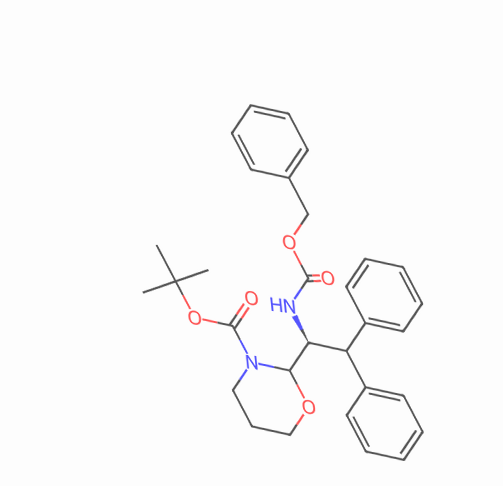 CC(C)(C)OC(=O)N1CCCOC1[C@@H](NC(=O)OCc1ccccc1)C(c1ccccc1)c1ccccc1